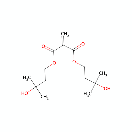 C=C(C(=O)OCCC(C)(C)O)C(=O)OCCC(C)(C)O